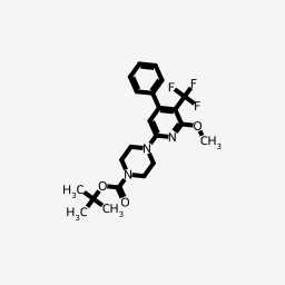 COc1nc(N2CCN(C(=O)OC(C)(C)C)CC2)cc(-c2ccccc2)c1C(F)(F)F